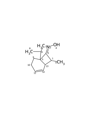 CC1C(=NO)C2(C(C)C)CCC=CC12